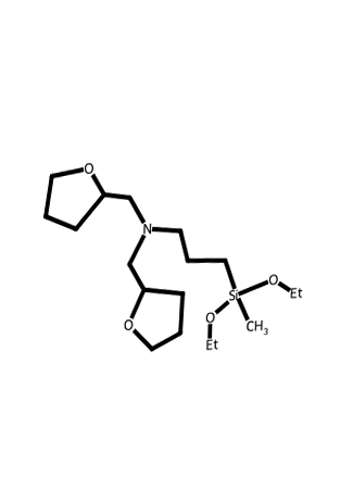 CCO[Si](C)(CCCN(CC1CCCO1)CC1CCCO1)OCC